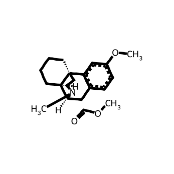 COC=O.COc1ccc2c(c1)[C@]13CCCC[C@@H]1[C@H](C2)N(C)CC3